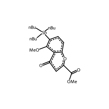 CCC[CH2][Sn]([CH2]CCC)([CH2]CCC)[c]1ccc2oc(C(=O)OC)cc(=O)c2c1OC